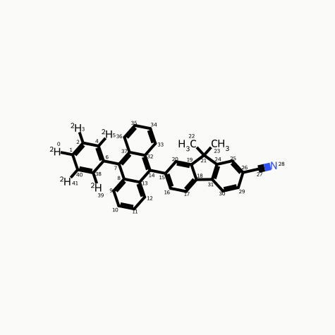 [2H]c1c([2H])c([2H])c(-c2c3ccccc3c(-c3ccc4c(c3)C(C)(C)c3cc(C#N)ccc3-4)c3ccccc23)c([2H])c1[2H]